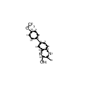 Cc1nc2ccc(-c3ccc(OC(F)(F)F)cc3)cc2nc1O